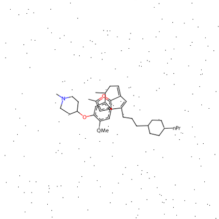 CCCC1CCC(CCC/C2=C/C(c3ccc(C)o3)=C/CC(C)c3cc(OC4CCN(C)CC4)c(OC)cc32)CC1